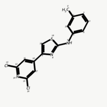 Cc1cccc(Nc2nc(-c3cc(Cl)nc(Cl)c3)cs2)c1